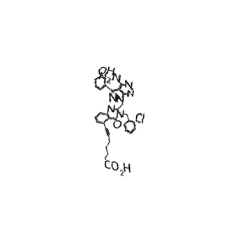 Nc1ncnc2c1c(-c1cccc(O)c1)nn2Cc1nc2cccc(C#CCCCCC(=O)O)c2c(=O)n1Cc1ccccc1Cl